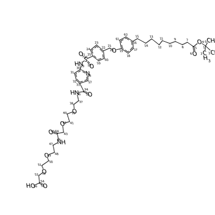 CC(C)(C)OC(=O)CCCCCCCCCc1ccc(OCc2ccc(S(=O)(=O)Nc3ccc(C(=O)NCCOCCOCC(=O)NCCOCCOCC(=O)O)cn3)cc2)cc1